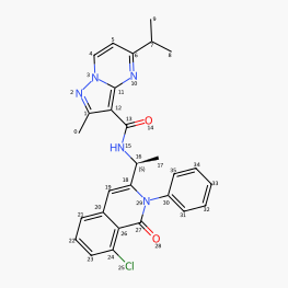 Cc1nn2ccc(C(C)C)nc2c1C(=O)N[C@@H](C)c1cc2cccc(Cl)c2c(=O)n1-c1ccccc1